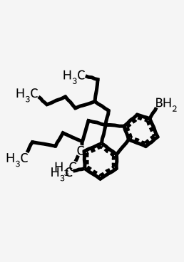 Bc1ccc2c(c1)C(CC(CC)CCCC)(CC(CC)CCCC)c1cc(C)ccc1-2